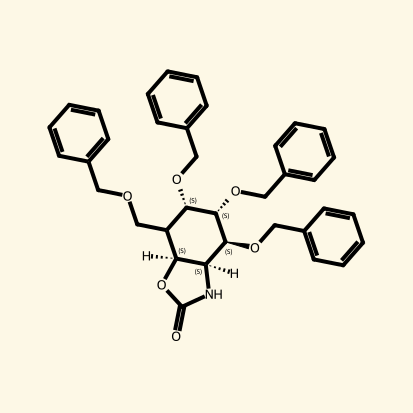 O=C1N[C@@H]2[C@H](OCc3ccccc3)[C@@H](OCc3ccccc3)[C@@H](OCc3ccccc3)C(COCc3ccccc3)[C@@H]2O1